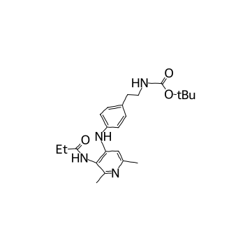 CCC(=O)Nc1c(Nc2ccc(CCNC(=O)OC(C)(C)C)cc2)cc(C)nc1C